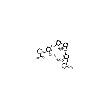 COc1nc(OCc2cccc(-c3cccc(COc4ccc(CN5CCCCC5C(=O)O)c(OC)n4)c3C)c2C)ccc1CN1CCCCC1C